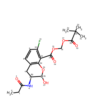 CCC(=O)N[C@H]1Cc2ccc(F)c(C(=O)OCOC(=O)C(C)(C)C)c2OB1O